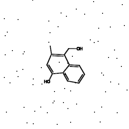 Cc1cc(O)c2ccccc2c1CO